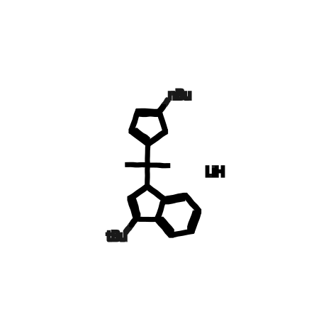 CCCCC1=CC=C(C(C)(C)C2C=C(C(C)(C)C)c3ccccc32)C1.[LiH]